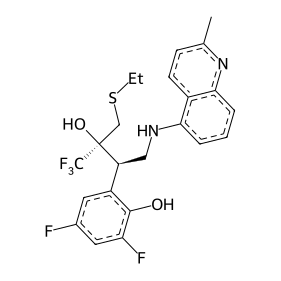 CCSC[C@](O)([C@@H](CNc1cccc2nc(C)ccc12)c1cc(F)cc(F)c1O)C(F)(F)F